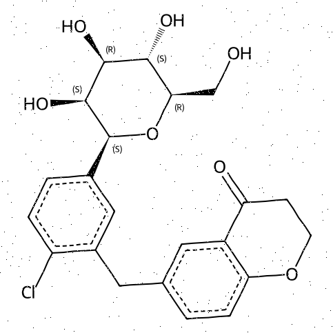 O=C1CCOc2ccc(Cc3cc([C@@H]4O[C@H](CO)[C@@H](O)[C@H](O)[C@@H]4O)ccc3Cl)cc21